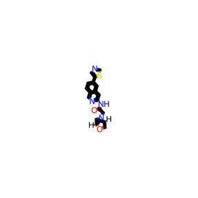 O=C(CN1C[C@H]2C[C@@H]1CO2)Nc1cc2cc(-c3cncs3)ccc2cn1